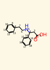 O=C(O)CC(NCCc1ccccc1)c1ccccc1